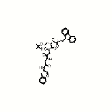 CC(C)(C)OCC[C@H](NC(=O)OCC1c2ccccc2-c2ccccc21)C(=O)N(O)CC(=O)NCC(=O)N[C@H](C=O)Cc1ccccc1